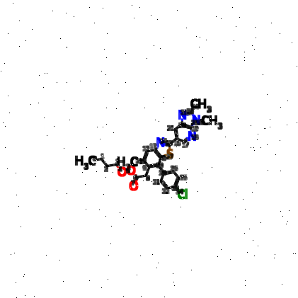 CCCCOOC(=O)Cc1c(C)cc2nc(-c3cnc4c(c3)nc(C)n4C)sc2c1-c1ccc(Cl)cc1